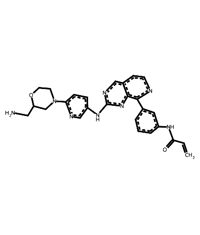 C=CC(=O)Nc1cccc(-c2nccc3cnc(Nc4ccc(N5CCOC(CN)C5)nc4)nc23)c1